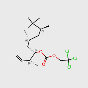 C=C[C@@H](C)[C@H](C[C@H](C)C[C@H](C)C(C)(C)C)OC(=O)OCC(Cl)(Cl)Cl